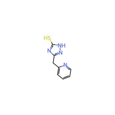 Sc1nc(Cc2ccccn2)n[nH]1